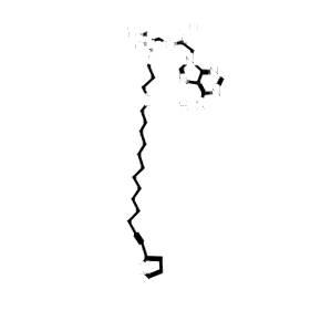 C[C@H](Cn1cnc2c(N)ncnc21)OCP(=O)(O)OCCCSCCCCCCCCCCCC#Cc1cccs1